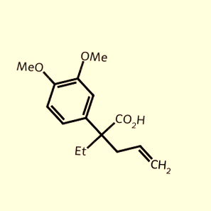 C=CCC(CC)(C(=O)O)c1ccc(OC)c(OC)c1